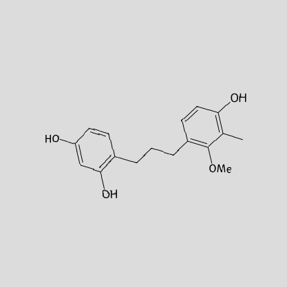 COc1c(CCCc2ccc(O)cc2O)ccc(O)c1C